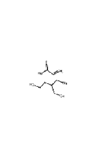 C=CC(=O)O.OCCC(CO)CO